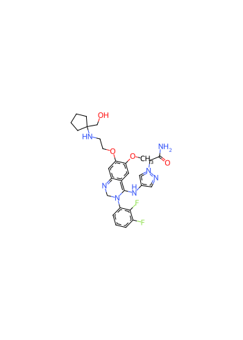 COc1cc2c(cc1OCCNC1(CO)CCCC1)=NCN(c1cccc(F)c1F)C=2Nc1cnn(CC(N)=O)c1